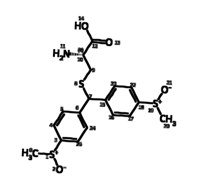 C[S+]([O-])c1ccc(C(SC[C@H](N)C(=O)O)c2ccc([S+](C)[O-])cc2)cc1